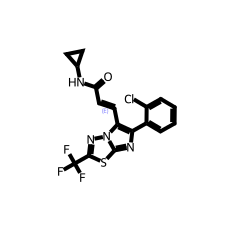 O=C(/C=C/c1c(-c2ccccc2Cl)nc2sc(C(F)(F)F)nn12)NC1CC1